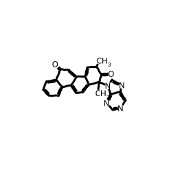 CC1C=c2c(ccc3c2=CC(=O)c2ccccc2-3)C(C)(n2cnc3cncnc32)C1=O